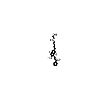 OCCNCCCC/C=C1\C[C@H]2C[C@@H](O)[C@H](/C=C/[C@@H](O)C3CCCC3)[C@H]2C1